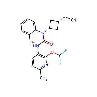 Cc1ccc(NC(=O)N(c2ccccc2C(C)C)[C@H]2C[C@@H](CC#N)C2)c(OC(F)F)n1